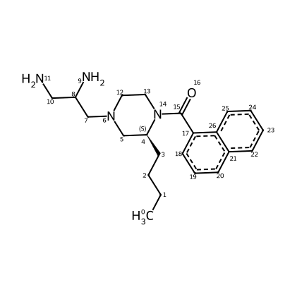 CCCC[C@H]1CN(CC(N)CN)CCN1C(=O)c1cccc2ccccc12